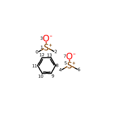 C[S+](C)[O-].C[S+](C)[O-].c1ccccc1